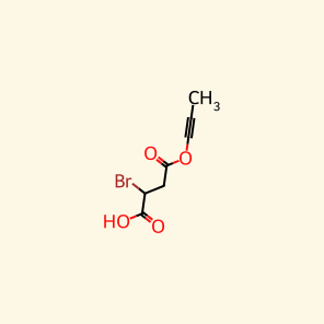 CC#COC(=O)CC(Br)C(=O)O